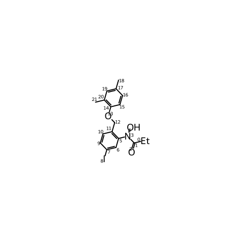 CCC(=O)N(O)c1cc(I)ccc1COc1ccc(C)cc1C